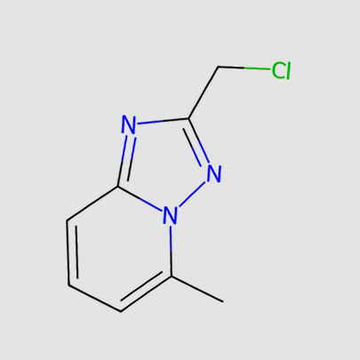 Cc1cccc2nc(CCl)nn12